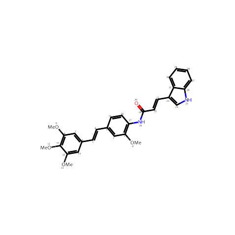 COc1cc(/C=C/c2cc(OC)c(OC)c(OC)c2)ccc1NC(=O)/C=C/c1c[nH]c2ccccc12